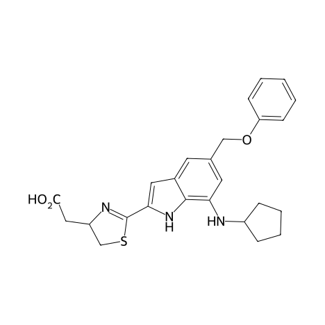 O=C(O)CC1CSC(c2cc3cc(COc4ccccc4)cc(NC4CCCC4)c3[nH]2)=N1